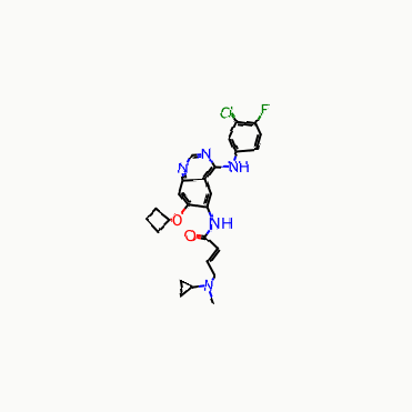 CN(C/C=C/C(=O)Nc1cc2c(Nc3ccc(F)c(Cl)c3)ncnc2cc1OC1CCC1)C1CC1